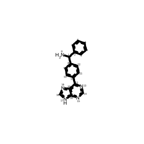 NC(c1ccccc1)c1ccc(-c2ncnc3[nH]cnc23)cc1